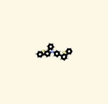 c1ccc2c(c1)sc1c(-c3ccc(-n4c5ccccc5c5c6sc7ccccc7c6ccc54)cc3)cccc12